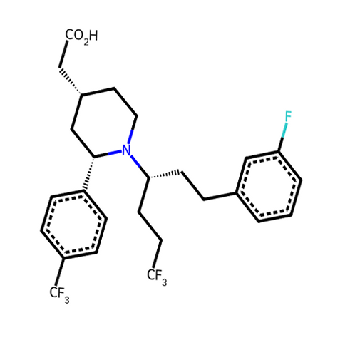 O=C(O)C[C@@H]1CCN([C@H](CCc2cccc(F)c2)CCC(F)(F)F)[C@H](c2ccc(C(F)(F)F)cc2)C1